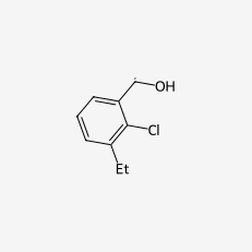 CCc1cccc([CH]O)c1Cl